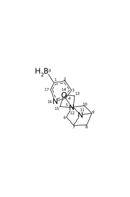 Bc1ccc(N2CC3CC(C2)N3C2COC2)nc1